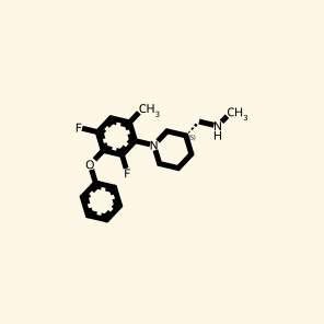 CNC[C@@H]1CCCN(c2c(C)cc(F)c(Oc3ccccc3)c2F)C1